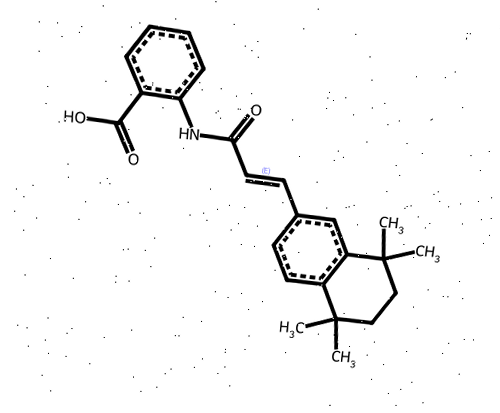 CC1(C)CCC(C)(C)c2cc(/C=C/C(=O)Nc3ccccc3C(=O)O)ccc21